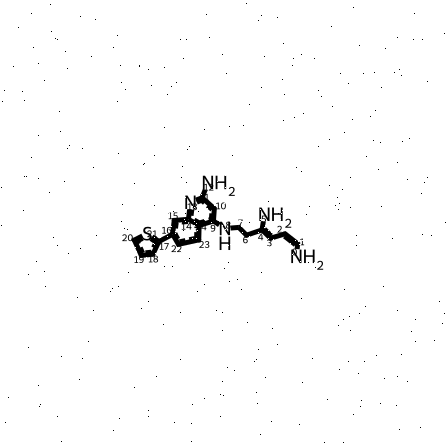 N/C=C\C=C(/N)CCNc1cc(N)nc2cc(-c3cccs3)ccc12